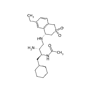 CCc1ccc2c(c1)[C@@H](NC[C@@H](N)[C@H](CC1CCCCC1)NC(C)=O)CS(=O)(=O)C2